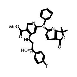 COC(=O)c1cnc(N(c2ccccc2)c2ccc3c(n2)C(C)(C)OC3=O)cc1NC[C@H](O)c1ccc(F)cc1